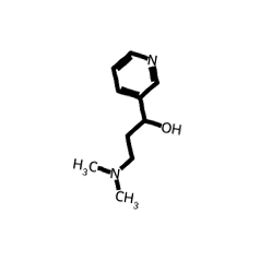 CN(C)CCC(O)c1cccnc1